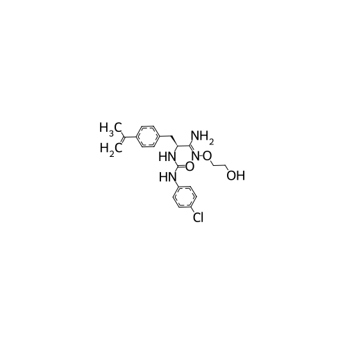 C=C(C)c1ccc(C[C@H](NC(=O)Nc2ccc(Cl)cc2)/C(N)=N/OCCO)cc1